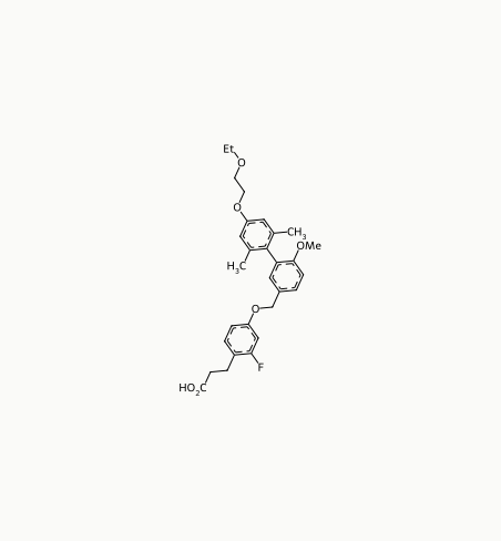 CCOCCOc1cc(C)c(-c2cc(COc3ccc(CCC(=O)O)c(F)c3)ccc2OC)c(C)c1